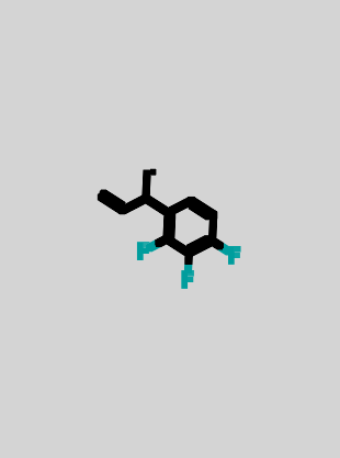 [CH2]C(C=C)c1ccc(F)c(F)c1F